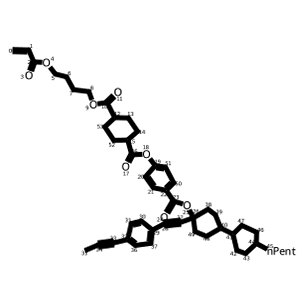 C=CC(=O)OCCCCOC(=O)C1CCC(C(=O)Oc2ccc(C(=O)OC3(C#Cc4ccc(C#CC)cc4)CCC(C4CCC(CCCCC)CC4)CC3)cc2)CC1